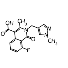 Cc1c(C(=O)O)c2cccc(F)c2c(=O)n1Cc1cnn(C)c1